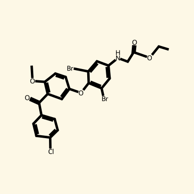 CCOC(=O)CNc1cc(Br)c(Oc2ccc(OC)c(C(=O)c3ccc(Cl)cc3)c2)c(Br)c1